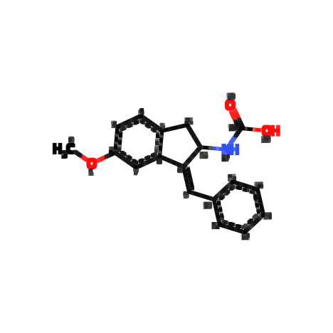 COc1ccc2c(c1)C(=Cc1ccccc1)C(NC(=O)O)C2